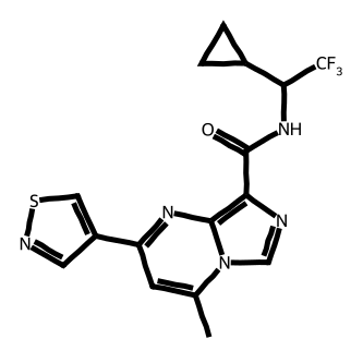 Cc1cc(-c2cnsc2)nc2c(C(=O)NC(C3CC3)C(F)(F)F)ncn12